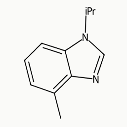 Cc1cccc2c1ncn2C(C)C